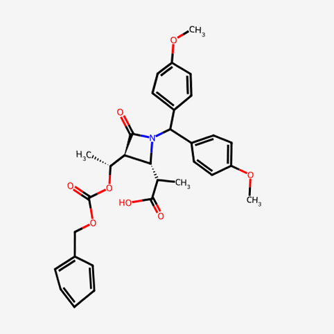 COc1ccc(C(c2ccc(OC)cc2)N2C(=O)[C@H]([C@@H](C)OC(=O)OCc3ccccc3)[C@H]2C(C)C(=O)O)cc1